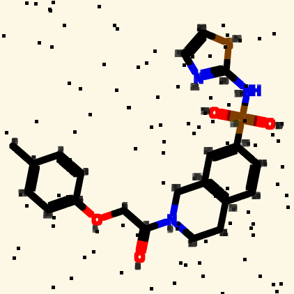 Cc1ccc(OCC(=O)N2CCc3ccc(S(=O)(=O)Nc4nccs4)cc3C2)cc1